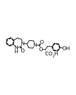 O=C(O)[C@@H](Cc1ccc(O)cc1)OC(=O)N1CCC(N2CCc3ccccc3NC2=O)CC1